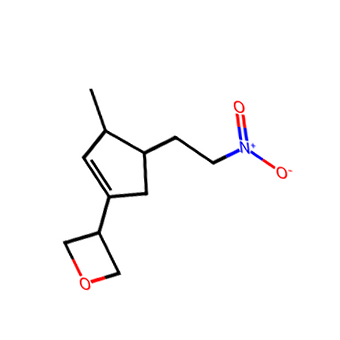 CC1C=C(C2COC2)CC1CC[N+](=O)[O-]